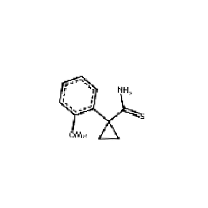 COc1ccccc1C1(C(N)=S)CC1